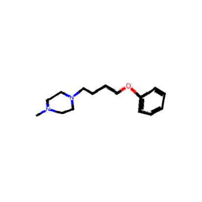 CN1CCN(CCCCOc2c[c]ccc2)CC1